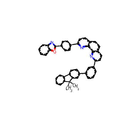 CC1(C)c2ccccc2-c2ccc(-c3cccc(-c4ccc5ccc6ccc(-c7ccc(-c8nc9ccccc9o8)cc7)nc6c5n4)c3)cc21